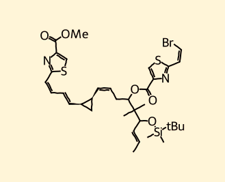 C/C=C/C(O[Si](C)(C)C(C)(C)C)C(C)(C)C(C/C=C\[C@H]1C[C@H]1/C=C/C=C\c1nc(C(=O)OC)cs1)OC(=O)c1csc(/C=C\Br)n1